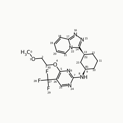 COCCOc1nc(N[C@@H]2CCC[C@H](c3nnc4ccccn34)C2)ncc1C(F)(F)F